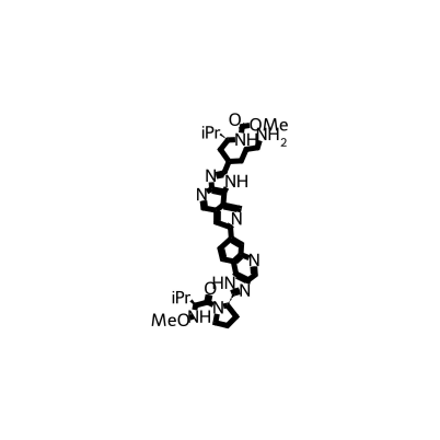 CON[C@H](C(=O)N1CCC[C@H]1c1nc2cnc3cc(-c4cc5cnc6nc(C(CCCN)C[C@@H](NC(=O)OC)C(C)C)[nH]c6c5cn4)ccc3c2[nH]1)C(C)C